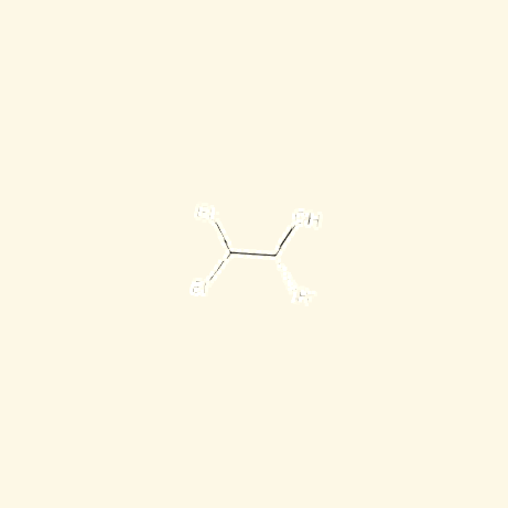 CCC(CC)[C@H](O)C(C)C